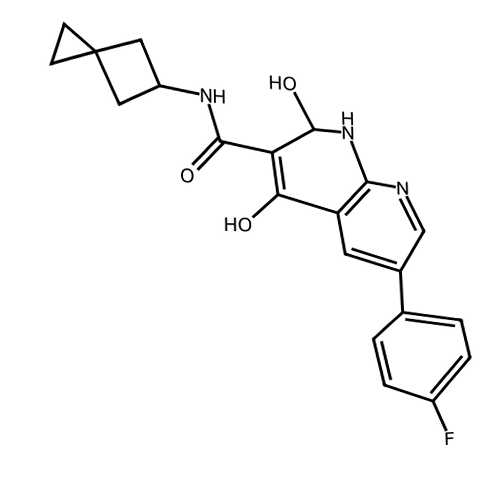 O=C(NC1CC2(CC2)C1)C1=C(O)c2cc(-c3ccc(F)cc3)cnc2NC1O